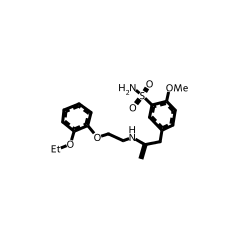 C=C(Cc1ccc(OC)c(S(N)(=O)=O)c1)NCCOc1ccccc1OCC